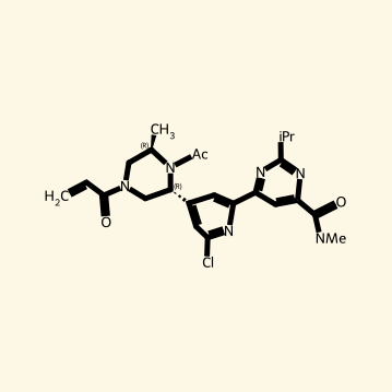 C=CC(=O)N1C[C@@H](C)N(C(C)=O)[C@H](c2cc(Cl)nc(-c3cc(C(=O)NC)nc(C(C)C)n3)c2)C1